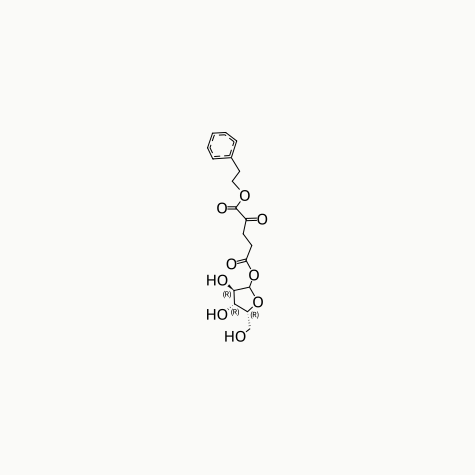 O=C(CCC(=O)C(=O)OCCc1ccccc1)OC1O[C@H](CO)[C@H](O)[C@H]1O